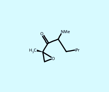 CNC(CC(C)C)C(=O)[C@@]1(C)CO1